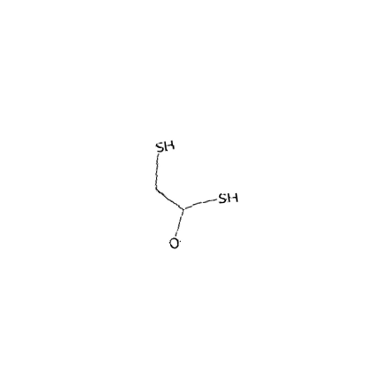 [O]C(S)CS